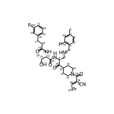 Cc1ccc(CNC[C@H](NC(=O)[C@@H](NC(=O)CCc2cccc(F)c2)[C@@H](C)O)C(=O)C2CCN(C(=O)C(C#N)=CC(C)C)CC2)c(F)c1